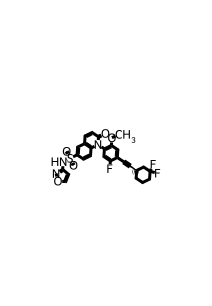 COc1cc(C#C[C@@H]2CCCC(F)(F)C2)c(F)cc1-n1c(=O)ccc2cc(S(=O)(=O)Nc3ccon3)ccc21